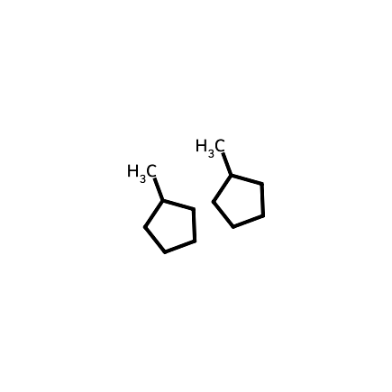 CC1CCCC1.CC1CCCC1